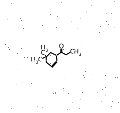 CCC(=O)C1C=CCC(C)(C)C1